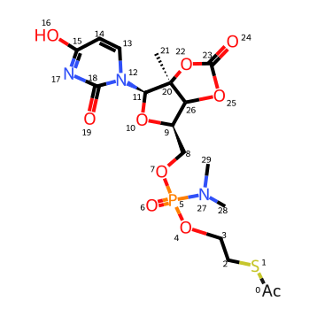 CC(=O)SCCOP(=O)(OC[C@H]1O[C@@H](n2ccc(O)nc2=O)[C@@]2(C)OC(=O)OC12)N(C)C